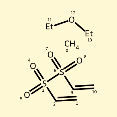 C.C=CS(=O)(=O)S(=O)(=O)C=C.CCOCC